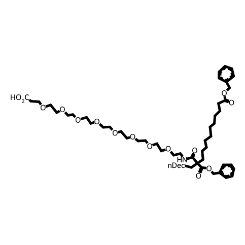 CCCCCCCCCCCC(CCCCCCCCCCC(=O)OCc1ccccc1)(C(=O)NCCOCCOCCOCCOCCOCCOCCOCCOCCC(=O)O)C(=O)OCc1ccccc1